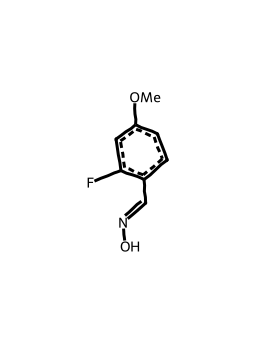 COc1ccc(C=NO)c(F)c1